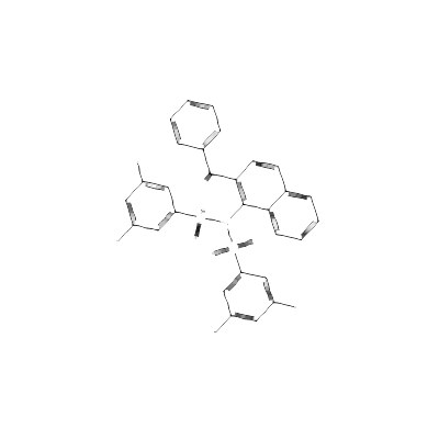 O=C(c1ccccc1)c1ccc2ccccc2c1N(S(=O)(=O)c1cc(Cl)cc(Cl)c1)S(=O)(=O)c1cc(Cl)cc(Cl)c1